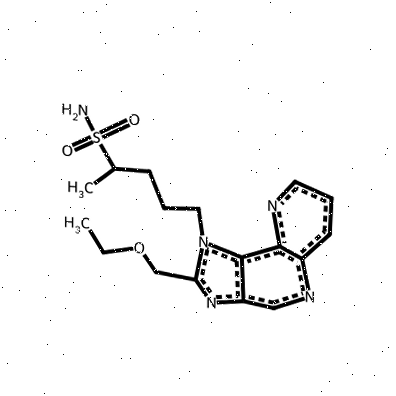 CCOCc1nc2cnc3cccnc3c2n1CCCC(C)S(N)(=O)=O